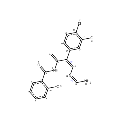 C=C(NC(=O)c1ccccc1Cl)/C(=C\N=C/N)c1ccc(Cl)c(Cl)c1